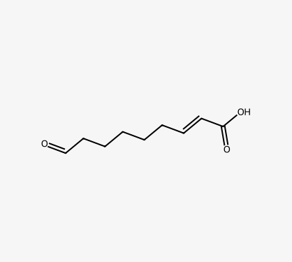 O=CCCCCCC=CC(=O)O